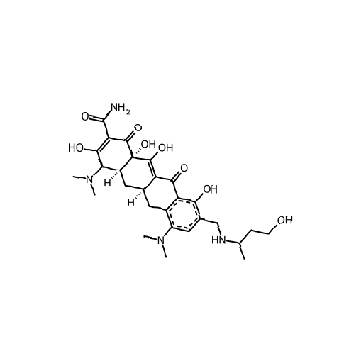 CC(CCO)NCc1cc(N(C)C)c2c(c1O)C(=O)C1=C(O)[C@]3(O)C(=O)C(C(N)=O)=C(O)C(N(C)C)[C@@H]3C[C@@H]1C2